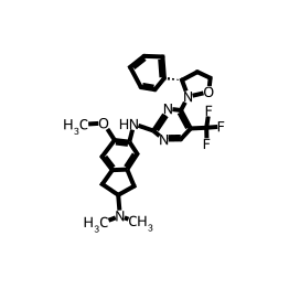 COc1cc2c(cc1Nc1ncc(C(F)(F)F)c(N3OCC[C@H]3c3ccccc3)n1)CC(N(C)C)C2